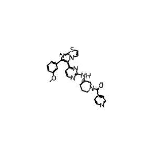 COc1cccc(-c2nc3sccn3c2-c2ccnc(N[C@@H]3CCCN(C(=O)c4ccncc4)C3)n2)c1